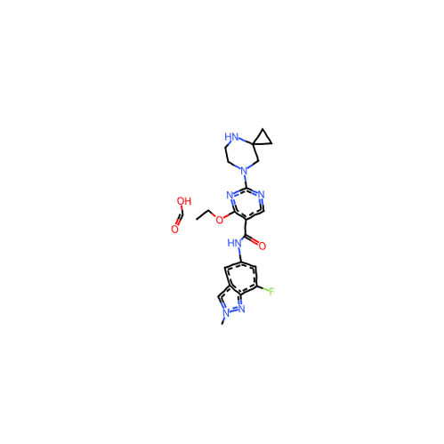 CCOc1nc(N2CCNC3(CC3)C2)ncc1C(=O)Nc1cc(F)c2nn(C)cc2c1.O=CO